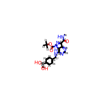 CNC(=O)c1nn(C(=O)OC(C)(C)C)c2c(NCc3ccc(B(O)O)cc3)ncnc12